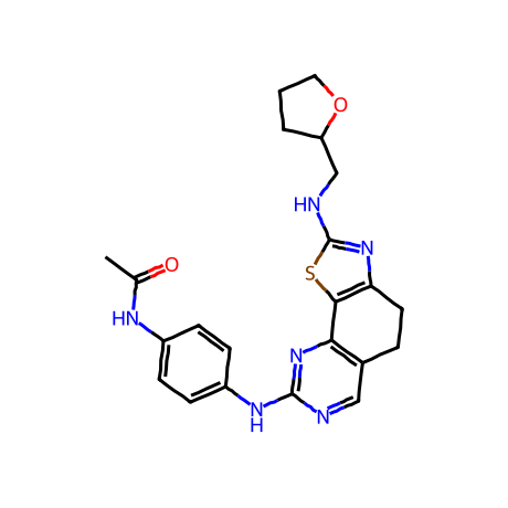 CC(=O)Nc1ccc(Nc2ncc3c(n2)-c2sc(NCC4CCCO4)nc2CC3)cc1